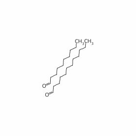 CCCCCCCCCC=O.CCCCCCCCCCCC=O